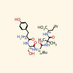 CC[C@H](C)[C@H](NC(=O)[C@H](CO)NC(=O)[C@@H](N)Cc1ccc(O)cc1)C(=O)NC(C)(C)C(=O)N[C@@H](CC(C)C)C(=O)O